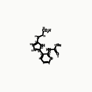 CC(C)(C)C(=O)Nc1ncccc1-c1nnc(SCC(=O)O)[nH]1